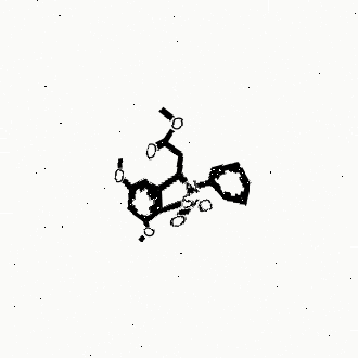 COC(=O)CC1c2cc(OC)cc(OC)c2S(=O)(=O)N1c1ccccc1